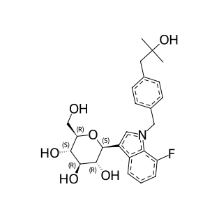 CC(C)(O)Cc1ccc(Cn2cc([C@@H]3O[C@H](CO)[C@@H](O)[C@H](O)[C@H]3O)c3cccc(F)c32)cc1